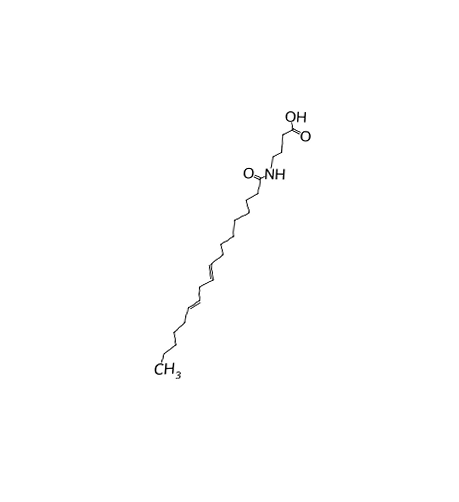 CCCCCC=CCC=CCCCCCCCC(=O)NCCCC(=O)O